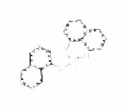 O[PH](Cl)(Oc1cccc2ccccc12)Oc1cccc2ccccc12